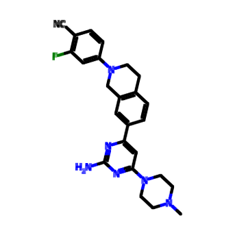 CN1CCN(c2cc(-c3ccc4c(c3)CN(c3ccc(C#N)c(F)c3)CC4)nc(N)n2)CC1